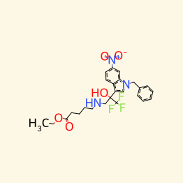 CCOC(=O)CCCCNCC(O)(c1cn(Cc2ccccc2)c2cc([N+](=O)[O-])ccc12)C(F)(F)F